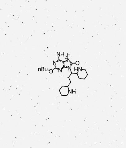 CCCCOc1nc(N)c2[nH]c(=O)n(C(CCC3CCCCN3)C3CCCCN3)c2n1